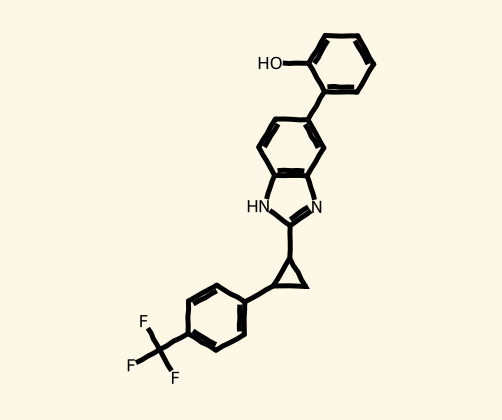 Oc1ccccc1-c1ccc2[nH]c(C3CC3c3ccc(C(F)(F)F)cc3)nc2c1